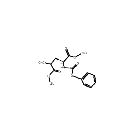 CC(C)(C)OC(=O)C(C=O)C[C@H](NC(=O)Oc1ccccc1)C(=O)OC(C)(C)C